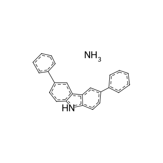 N.c1ccc(-c2ccc3[nH]c4ccc(-c5ccccc5)cc4c3c2)cc1